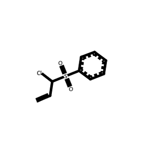 C=CC(Cl)S(=O)(=O)c1ccccc1